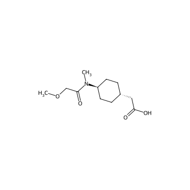 COCC(=O)N(C)[C@H]1CC[C@H](CC(=O)O)CC1